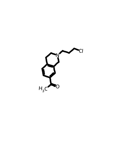 CC(=O)c1ccc2c(c1)CN(CCCCl)CC2